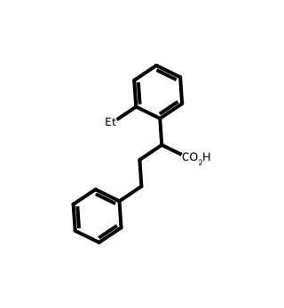 CCc1ccccc1C(CCc1ccccc1)C(=O)O